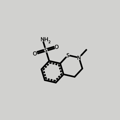 CN1CCc2cccc(S(N)(=O)=O)c2S1